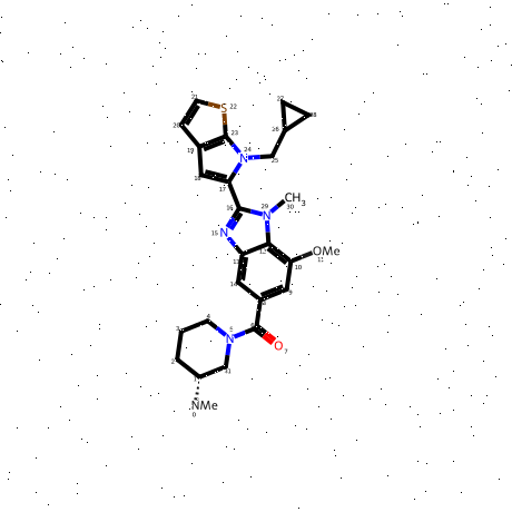 CN[C@@H]1CCCN(C(=O)c2cc(OC)c3c(c2)nc(-c2cc4ccsc4n2CC2CC2)n3C)C1